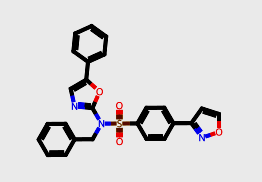 O=S(=O)(c1ccc(-c2ccon2)cc1)N(Cc1ccccc1)c1ncc(-c2ccccc2)o1